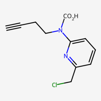 C#CCCN(C(=O)O)c1cccc(CCl)n1